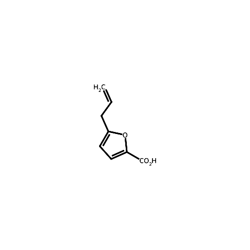 C=CCc1ccc(C(=O)O)o1